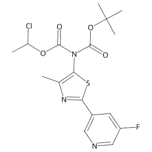 Cc1nc(-c2cncc(F)c2)sc1N(C(=O)OC(C)Cl)C(=O)OC(C)(C)C